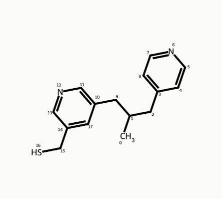 CC(Cc1ccncc1)Cc1cncc(CS)c1